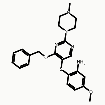 COc1ccc(Sc2cnc(N3CCN(C)CC3)nc2OCc2ccccc2)c(N)c1